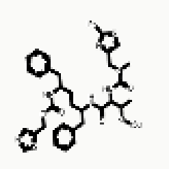 CC(C)c1nc(CN(C)C(=O)NC(C(=O)NC(CCC(Cc2ccccc2)NC(=O)OCc2cncs2)Cc2ccccc2)C(C)OC(C)(C)C)cs1